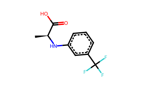 C[C@H](Nc1cccc(C(F)(F)F)c1)C(=O)O